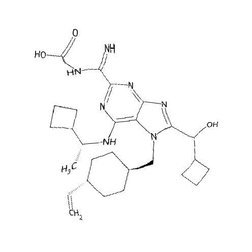 C=C[C@H]1CC[C@H](Cn2c(C(O)C3CCC3)nc3nc(C(=N)NC(=O)O)nc(N[C@H](C)C4CCC4)c32)CC1